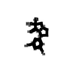 CCC1(C)CN2CC[C@@H](c3cc(F)cc(F)c3)N2C1=O